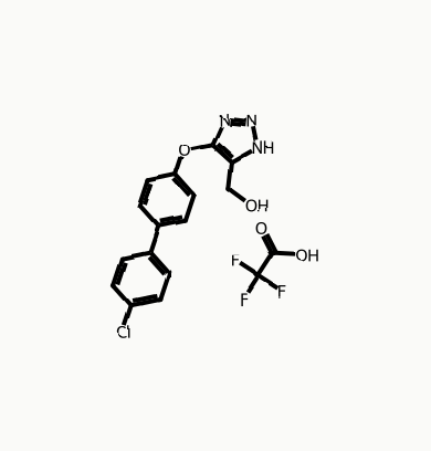 O=C(O)C(F)(F)F.OCc1[nH]nnc1Oc1ccc(-c2ccc(Cl)cc2)cc1